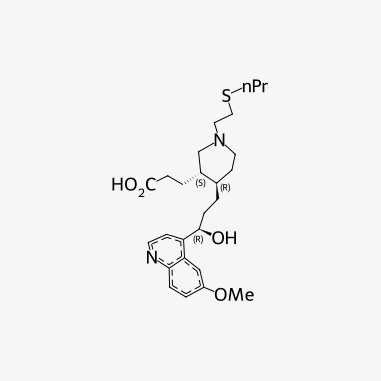 CCCSCCN1CC[C@@H](CC[C@@H](O)c2ccnc3ccc(OC)cc23)[C@H](CCC(=O)O)C1